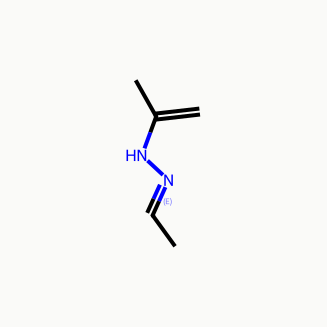 C=C(C)N/N=C/C